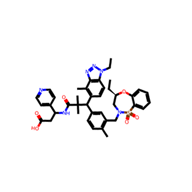 CC[C@@H]1CN(Cc2cc(C(c3ccc4c(nnn4CC)c3C)C(C)(C)C(=O)NC(CC(=O)O)c3ccncc3)ccc2C)S(=O)(=O)c2ccccc2O1